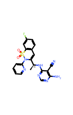 C[C@H](Nc1ncnc(N)c1C#N)C1=Cc2ccc(F)cc2S(=O)(=O)N1c1ccccn1